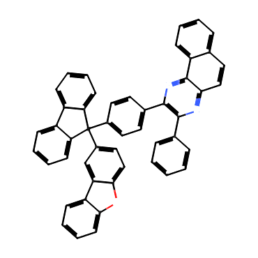 c1ccc(-c2nc3ccc4ccccc4c3nc2-c2ccc(C3(c4ccc5oc6ccccc6c5c4)c4ccccc4-c4ccccc43)cc2)cc1